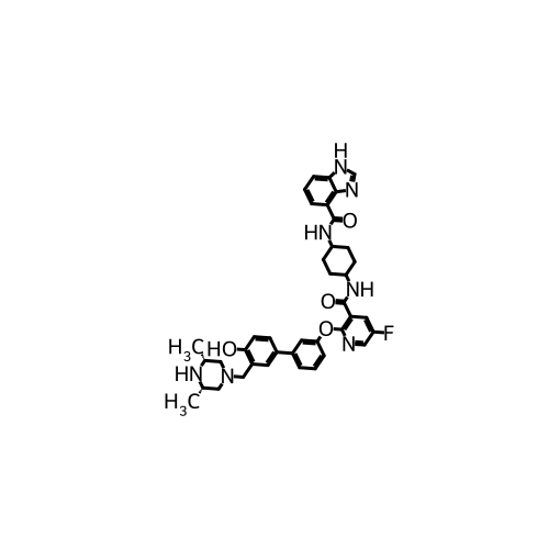 C[C@@H]1CN(Cc2cc(-c3cccc(Oc4ncc(F)cc4C(=O)NC4CCC(NC(=O)c5cccc6[nH]cnc56)CC4)c3)ccc2O)C[C@H](C)N1